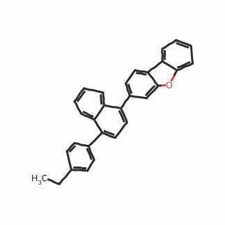 CCc1ccc(-c2ccc(-c3ccc4c(c3)oc3ccccc34)c3ccccc23)cc1